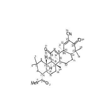 CNC(=O)[C@@H]1CC(C)(C)C[C@H]2C1CC[C@]1(C)[C@@H]2C(=O)C=C2[C@@]3(C)C=C(C#N)C(=O)C(C)(C)C3CC[C@]21C